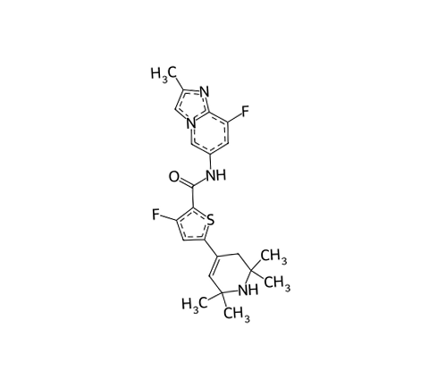 Cc1cn2cc(NC(=O)c3sc(C4=CC(C)(C)NC(C)(C)C4)cc3F)cc(F)c2n1